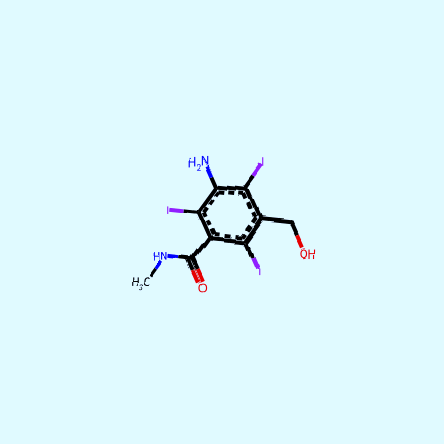 CNC(=O)c1c(I)c(N)c(I)c(CO)c1I